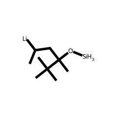 [Li][CH](C)CC(C)(O[SiH3])C(C)(C)C